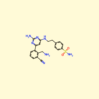 N#Cc1cccc(-c2cc(NCCc3ccc(S(N)(=O)=O)cc3)nc(N)n2)c1CN